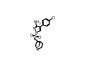 Nc1nn(S(=O)(=O)CC2CN3CCC2CC3)cc1-c1ccc(Cl)cc1